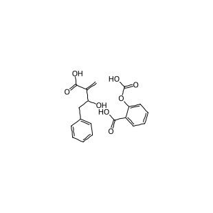 C=C(C(=O)O)C(O)Cc1ccccc1.O=C(O)Oc1ccccc1C(=O)O